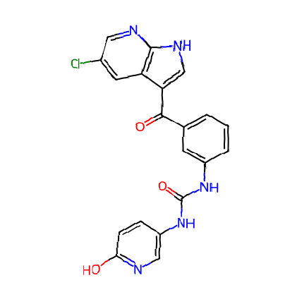 O=C(Nc1ccc(O)nc1)Nc1cccc(C(=O)c2c[nH]c3ncc(Cl)cc23)c1